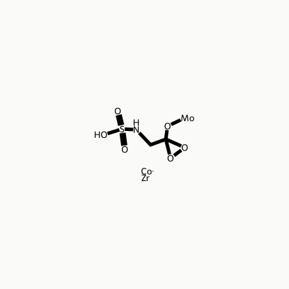 O=S(=O)(O)NCC1([O][Mo])OO1.[Co].[Zr]